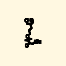 C=CC(CO)CCCO[Si](C)(C)C(=O)CC(C)(C)C